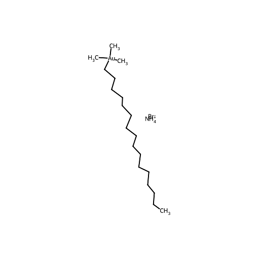 CCCCCCCCCCCCCCC[CH2][Au]([CH3])([CH3])[CH3].[Br-].[NH4+]